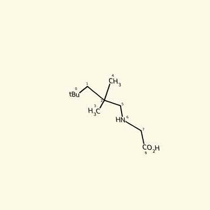 CC(C)(C)CC(C)(C)CNCC(=O)O